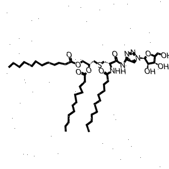 CCCCCCCCCCCC(=O)N[C@H](CSC[C@@H](COC(=O)CCCCCCCCCCC)OC(=O)CCCCCCCCCCC)C(=O)Nc1cn([C@H]2OC(CO)[C@@H](O)[C@H]2O)nn1